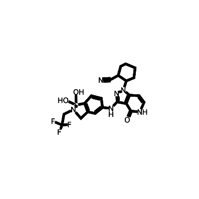 N#CC1CCCCC1n1nc(Nc2ccc3c(c2)CN(CC(F)(F)F)S3(O)O)c2c(=O)[nH]ccc21